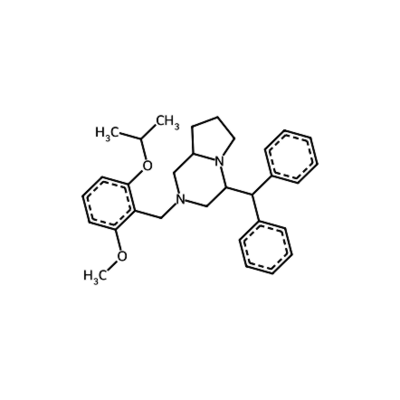 COc1cccc(OC(C)C)c1CN1CC2CCCN2C(C(c2ccccc2)c2ccccc2)C1